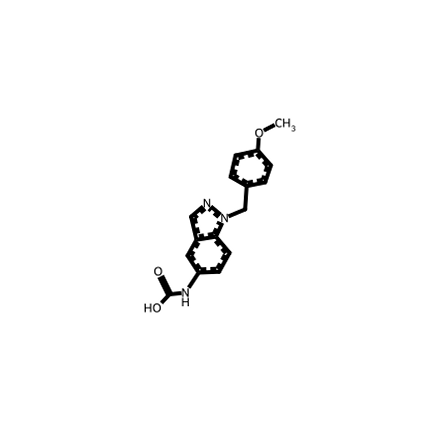 COc1ccc(Cn2ncc3cc(NC(=O)O)ccc32)cc1